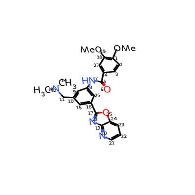 COc1ccc(C(=O)Nc2cc(CN(C)C)cc(-c3nc4ncccc4o3)c2)cc1OC